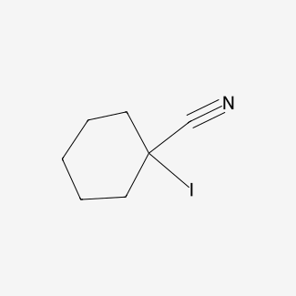 N#CC1(I)CCCCC1